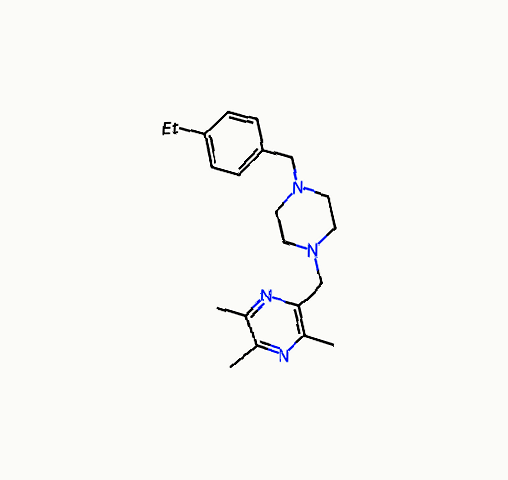 CCc1ccc(CN2CCN(Cc3nc(C)c(C)nc3C)CC2)cc1